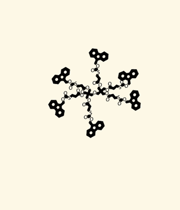 O=C(CCSC(=O)OCC1c2ccccc2-c2ccccc21)OCC(COCC(COC(=O)CCSC(=O)OCC1c2ccccc2-c2ccccc21)(COC(=O)CCSC(=O)OCC1c2ccccc2-c2ccccc21)COC(=O)CCSC(=O)OCC1c2ccccc2-c2ccccc21)(COC(=O)CCSC(=O)OCC1c2ccccc2-c2ccccc21)COC(=O)CCSC(=O)OCC1c2ccccc2-c2ccccc21